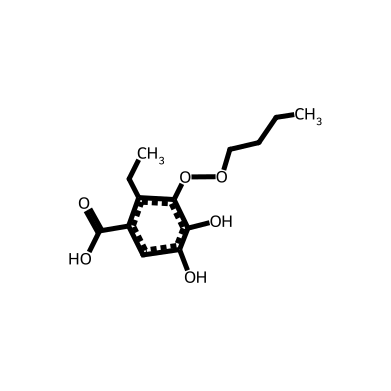 CCCCOOc1c(O)c(O)cc(C(=O)O)c1CC